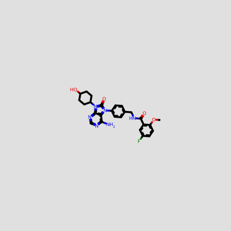 COc1ccc(F)cc1C(=O)NCc1ccc(-n2c(=O)n(C3CCC(O)CC3)c3ncnc(N)c32)cc1